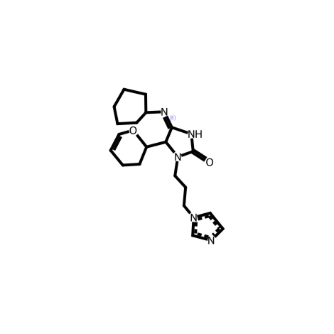 O=C1N/C(=N/C2CCCCC2)C(C2CCC=CO2)N1CCCn1ccnc1